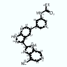 CCC(=O)Nc1cncc(-c2cnc3[nH]nc(-c4nc5c(C#N)cncc5[nH]4)c3c2)c1